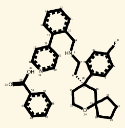 Fc1ccc([C@]2(CCNCc3ccccc3-c3ccncc3)CCOC3(CCCC3)C2)cc1.O=C(O)c1ccccc1